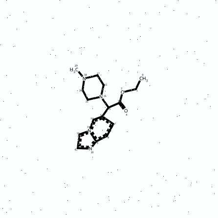 CCOC(=O)C(c1ccc2nccn2c1)N1CCN(C)CC1